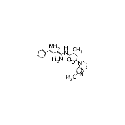 Cc1cc2n(n1)CCCN2C(=O)CC(C)C(=O)N/C(N)=C/C=C(\N)c1ccccc1